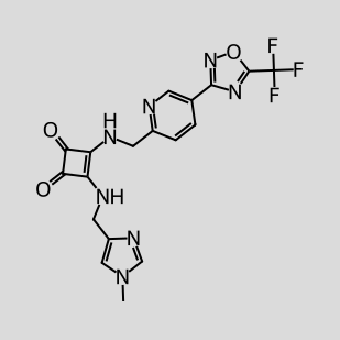 Cn1cnc(CNc2c(NCc3ccc(-c4noc(C(F)(F)F)n4)cn3)c(=O)c2=O)c1